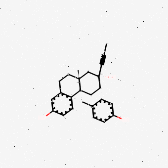 CC#C[C@@]1(O)CC[C@@]2(Cc3ccc(O)cc3)c3ccc(O)cc3CC[C@@H]2C1